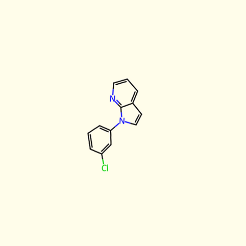 Clc1cccc(-n2ccc3cccnc32)c1